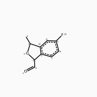 CC1OC(C=O)c2ccc(F)cc21